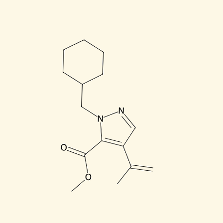 C=C(C)c1cnn(CC2CCCCC2)c1C(=O)OC